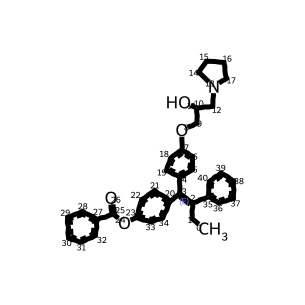 CC/C(=C(/c1ccc(OCC(O)CN2CCCC2)cc1)c1ccc(OC(=O)c2ccccc2)cc1)c1ccccc1